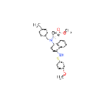 COC(=O)C[C@H](C)N(Cc1ccc(C)cc1)c1ccc(NSc2ccc(OC)cc2)c2ccccc12